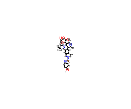 COc1ccc2nc(N3CCc4cc(-c5c(C)nc(C)c([C@H](OC(C)(C)C)C(=O)O)c5N5CCC(C)(C)CC5)ccc4C3)sc2c1